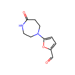 O=Cc1ccc(N2CCNC(=O)CC2)o1